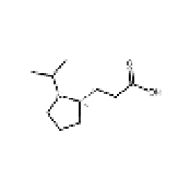 CC(C)N1CCC[C@H]1CCC(=O)O